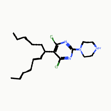 CCCCCCC(CCCCC)c1c(Cl)nc(N2CCNCC2)nc1Cl